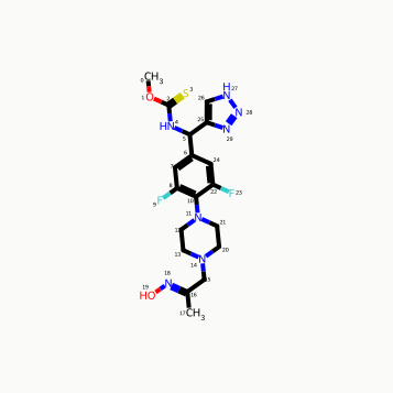 COC(=S)NC(c1cc(F)c(N2CCN(CC(C)=NO)CC2)c(F)c1)c1c[nH]nn1